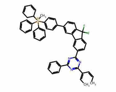 C/C=C\C(=C/C)c1nc(-c2ccccc2)nc(-c2ccc3c(c2)-c2cc(-c4ccc([SH](C)(c5ccccc5)(c5ccccc5)C5C=CC=CC5)cc4)ccc2C3(F)F)n1